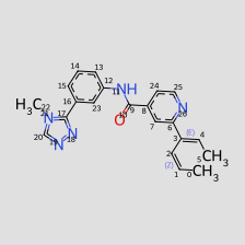 C/C=C\C(=C/C)c1cc(C(=O)Nc2cccc(-c3nncn3C)c2)ccn1